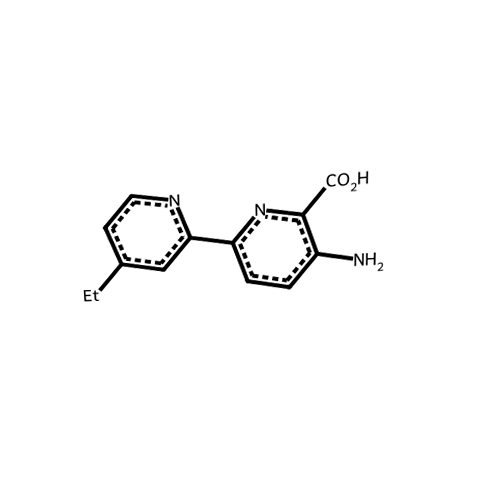 CCc1ccnc(-c2ccc(N)c(C(=O)O)n2)c1